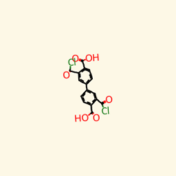 O=C(O)c1ccc(-c2ccc(C(=O)O)c(C(=O)Cl)c2)cc1C(=O)Cl